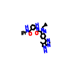 Cc1c[nH]c2ncnc(-c3ccc4c(C(=O)Nc5cccc(C(=O)NC(C)C)c5)n(CC5CC5)nc4c3)c12